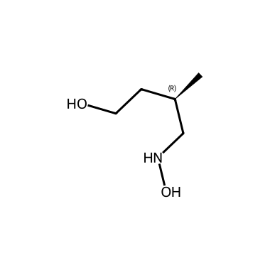 C[C@H](CCO)CNO